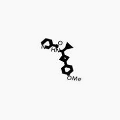 COc1ccc(C23CC(C(NC(=O)c4cccnc4)C4CC4)(C2)C3)cc1